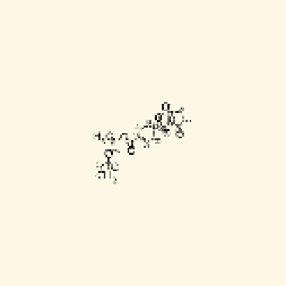 C=CC(=O)OCC(C)OC(=O)c1ccc(S(=O)(=O)N2C(=O)CCC2=O)cc1